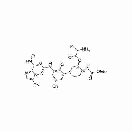 CCNc1nc(Nc2cc(C#N)cc(N3CC[C@@H](NC(=O)OC)[C@H](OC(=O)C(N)C(C)C)C3)c2Cl)nn2c(C#N)cnc12